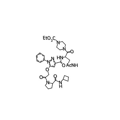 CCOC(=O)N1CCN(C(=O)C(CNC(C)=O)NC(=O)c2cc(OCC(=O)N3CCCC3C(=O)NC3CCC3)n(-c3ccccc3)n2)CC1